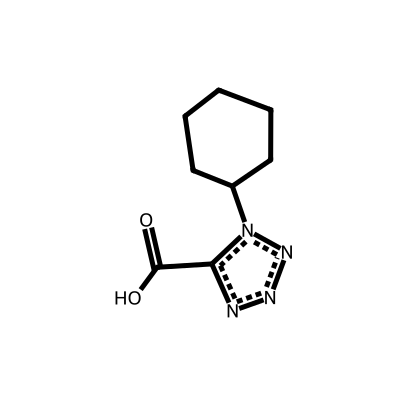 O=C(O)c1nnnn1C1CCCCC1